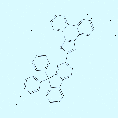 c1ccc(C2(c3ccccc3)c3ccccc3-c3ccc(-c4cc5c6ccccc6c6ccccc6c5s4)cc32)cc1